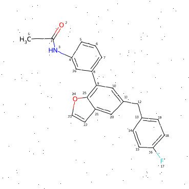 CC(=O)Nc1cccc(-c2cc(Cc3ccc(F)cc3)cc3ccoc23)c1